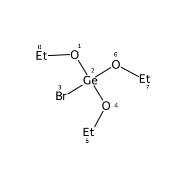 CC[O][Ge]([Br])([O]CC)[O]CC